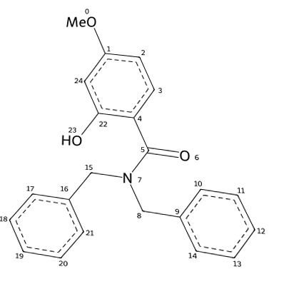 COc1ccc(C(=O)N(Cc2ccccc2)Cc2ccccc2)c(O)c1